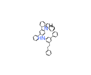 CC12C=CC=CC1c1cc(-c3ccccc3)c(Nc3cc(CCc4ccccc4)cc(-c4ccccc4)c3)cc1N2c1ccccc1